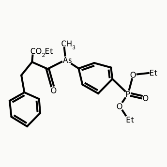 CCOC(=O)C(Cc1ccccc1)C(=O)[As](C)c1ccc(P(=O)(OCC)OCC)cc1